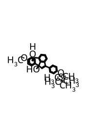 COc1ccc(C2(O)C=C(c3ccc(O[Si](C)(C)C(C)(C)C)cc3)c3cccc(C(=O)O)c32)cc1